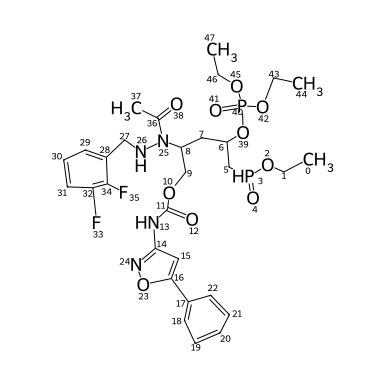 CCO[PH](=O)CC(CC(COC(=O)Nc1cc(-c2ccccc2)on1)N(NCc1cccc(F)c1F)C(C)=O)OP(=O)(OCC)OCC